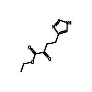 CCOC(=O)C(=O)CCc1c[nH]cn1